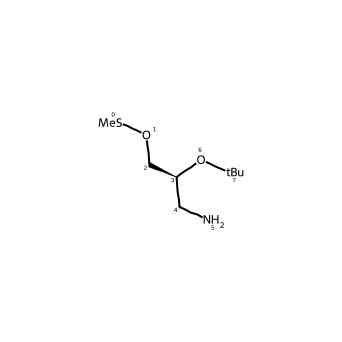 CSOC[C@H](CN)OC(C)(C)C